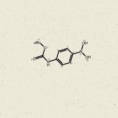 CCCCOC(=O)Nc1ccc(N(O)O)cc1